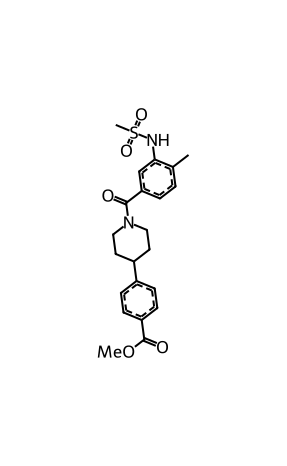 COC(=O)c1ccc(C2CCN(C(=O)c3ccc(C)c(NS(C)(=O)=O)c3)CC2)cc1